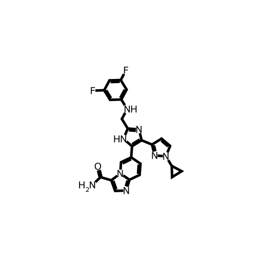 NC(=O)c1cnc2ccc(-c3[nH]c(CNc4cc(F)cc(F)c4)nc3-c3ccn(C4CC4)n3)cn12